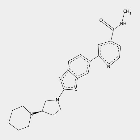 CNC(=O)c1ccnc(-c2ccc3nc(N4CC[C@@H](N5CCCCC5)C4)sc3c2)c1